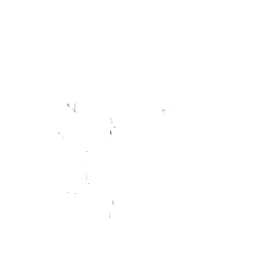 CC(C)C(O)Cc1nnc(-c2ccccc2)o1